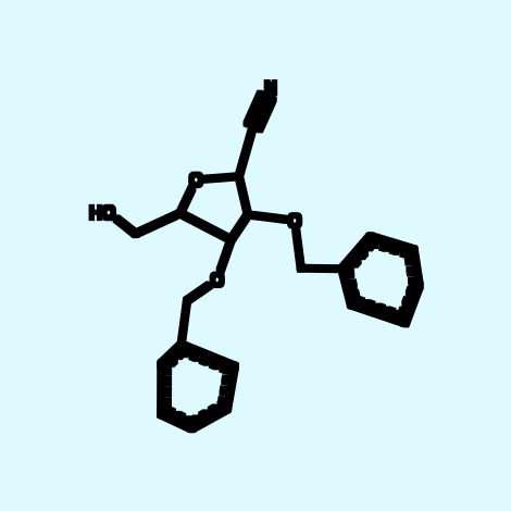 N#CC1OC(CO)C(OCc2ccccc2)C1OCc1ccccc1